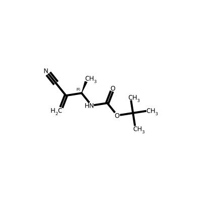 C=C(C#N)[C@@H](C)NC(=O)OC(C)(C)C